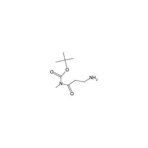 CN(C(=O)CCN)C(=O)OC(C)(C)C